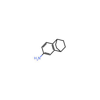 Nc1ccc2c(c1)C1CCC2CC1